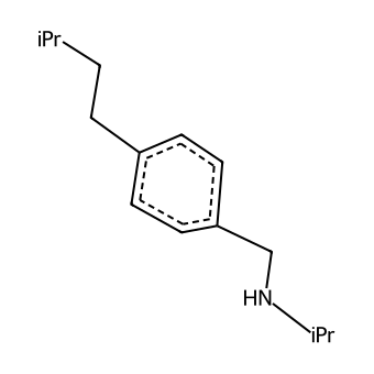 CC(C)CCc1ccc(CNC(C)C)cc1